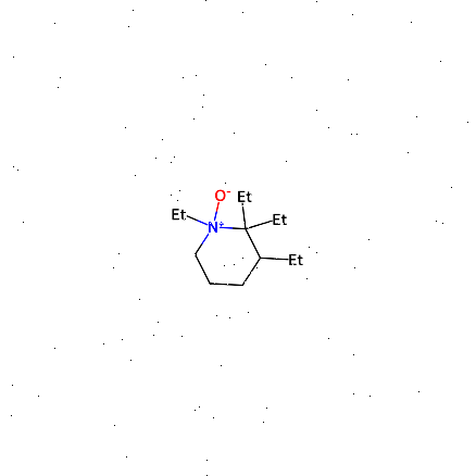 CCC1CCC[N+]([O-])(CC)C1(CC)CC